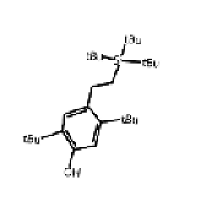 CC(C)(C)c1cc(CC[Si](C(C)(C)C)(C(C)(C)C)C(C)(C)C)c(C(C)(C)C)cc1O